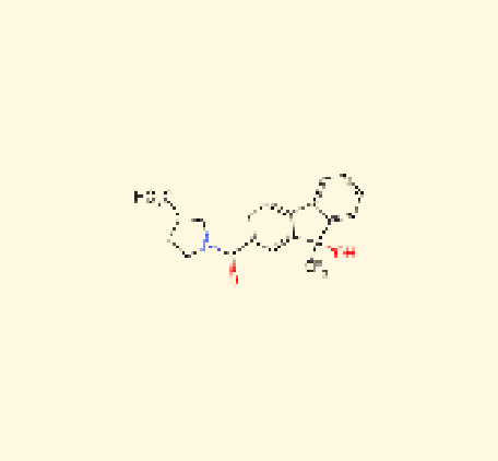 O=C(O)C1CCN(C(=O)c2ccc3c(c2)C(O)(C(F)(F)F)c2ccccc2-3)C1